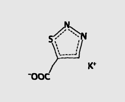 O=C([O-])c1cnns1.[K+]